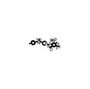 Cc1ccc(-c2noc(C3CCN(c4nc(=O)c5cc(C(F)(F)F)c(C)c([N+](=O)[O-])c5s4)CC3)n2)cc1